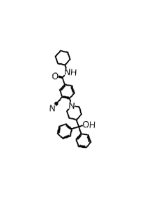 N#Cc1cc(C(=O)NC2CCCCC2)ccc1N1CCC(C(O)(c2ccccc2)c2ccccc2)CC1